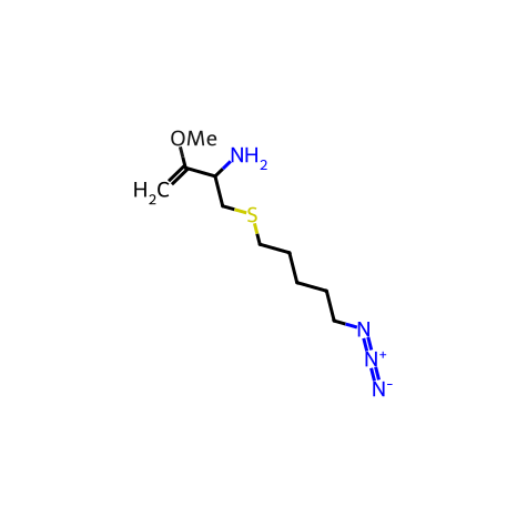 C=C(OC)C(N)CSCCCCCN=[N+]=[N-]